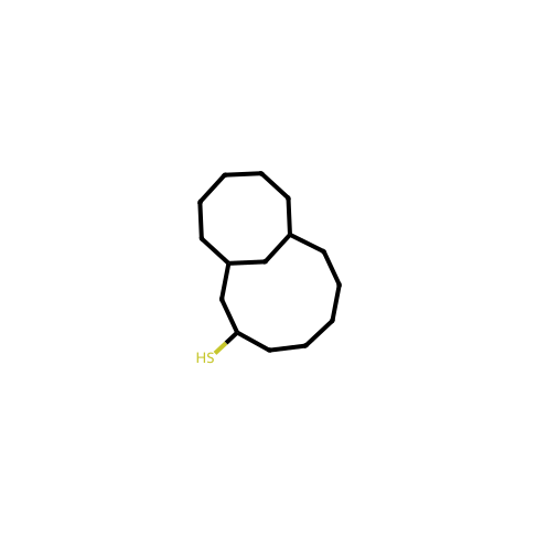 SC1CCCCCC2CCCCCC(C1)C2